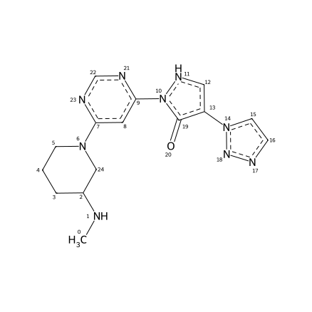 CNC1CCCN(c2cc(-n3[nH]cc(-n4ccnn4)c3=O)ncn2)C1